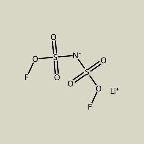 O=S(=O)([N-]S(=O)(=O)OF)OF.[Li+]